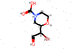 O=CC(Br)C1CN(C(=O)O)CCO1